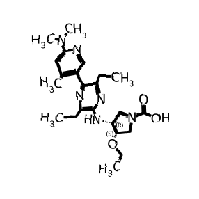 CCO[C@H]1CN(C(=O)O)C[C@H]1Nc1nc(CC)c(-c2cnc(N(C)C)cc2C)nc1CC